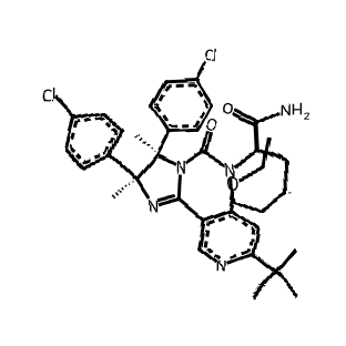 CCOc1cc(C(C)(C)C)ncc1C1=N[C@@](C)(c2ccc(Cl)cc2)[C@@](C)(c2ccc(Cl)cc2)N1C(=O)N1CC[CH]CC1C(N)=O